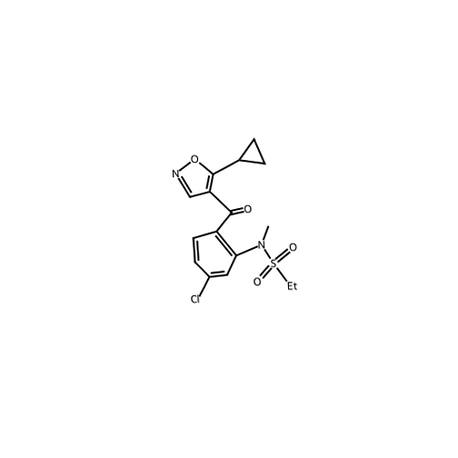 CCS(=O)(=O)N(C)c1cc(Cl)ccc1C(=O)c1cnoc1C1CC1